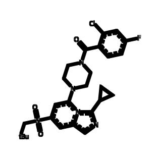 CC(C)(C)CS(=O)(=O)c1cc(N2CCN(C(=O)c3ccc(F)cc3Cl)CC2)n2c(C3CC3)ncc2c1